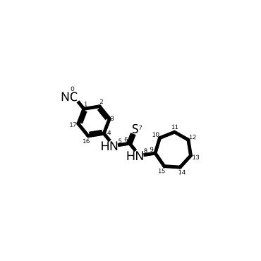 N#Cc1ccc(NC(=S)NC2CCCCCC2)cc1